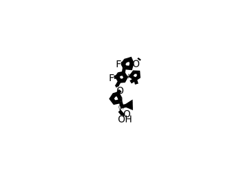 COc1ccc(F)c(-c2cc(F)c(COc3cccc([C@@H](CC(=O)O)C4CC4)c3)cc2[C@@H]2CCCC2(C)C)c1